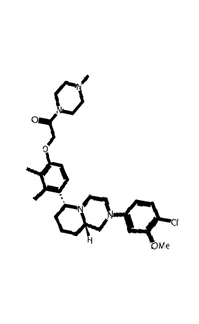 COc1cc(N2CCN3[C@@H](CCC[C@@H]3c3ccc(OCC(=O)N4CCN(C)CC4)c(C)c3C)C2)ccc1Cl